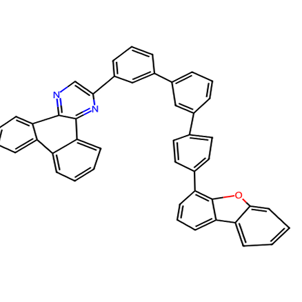 c1cc(-c2ccc(-c3cccc4c3oc3ccccc34)cc2)cc(-c2cccc(-c3cnc4c5ccccc5c5ccccc5c4n3)c2)c1